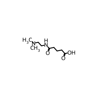 CN(C)CCNC(=O)CCCC(=O)O